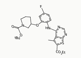 CCOC(=O)c1sc2ncnc(Nc3ccc(F)cc3OC3CCCN(C(=O)OC(C)(C)C)C3)c2c1C